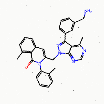 Cc1ccccc1-n1c(Cn2nc(-c3cccc(CN)c3)c3c(C)ncnc32)cc2cccc(C)c2c1=O